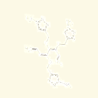 Bn1cc(CO/C(C=C)=C(OCc2cn(B)nn2)/C(=C\C=C)OCc2cn(B)nn2)nn1